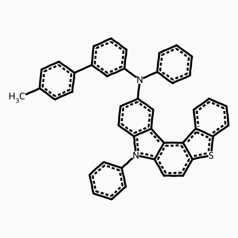 Cc1ccc(-c2cccc(N(c3ccccc3)c3ccc4c(c3)c3c5c(ccc3n4-c3ccccc3)sc3ccccc35)c2)cc1